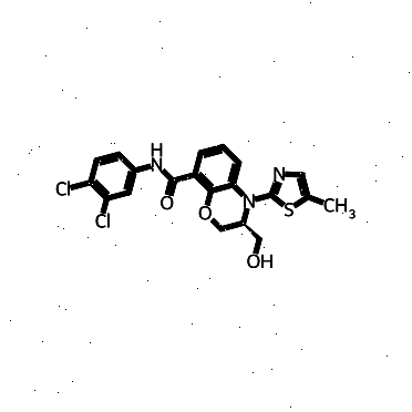 Cc1cnc(N2c3cccc(C(=O)Nc4ccc(Cl)c(Cl)c4)c3OC[C@@H]2CO)s1